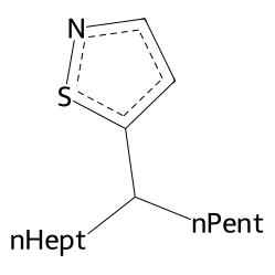 CCCCCCCC(CCCCC)c1ccns1